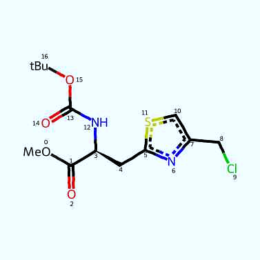 COC(=O)[C@H](Cc1nc(CCl)cs1)NC(=O)OC(C)(C)C